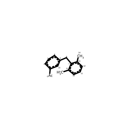 CC(=O)c1cccc(Cc2c(C)cccc2C)c1